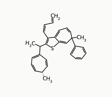 C=C/C=C\c1c(C(C)C2=CC=C[C@@H](C)C=C2)sc2c1=CC=CC(C)(c1ccccc1)C=2